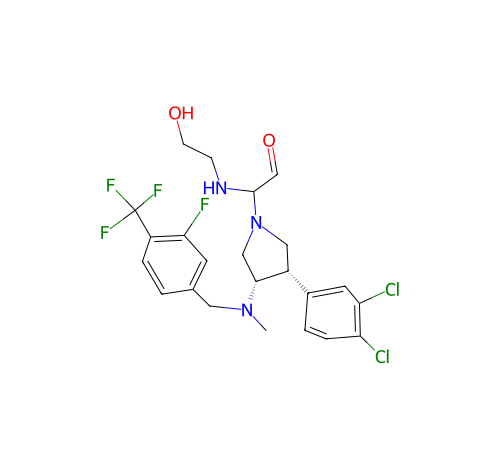 CN(Cc1ccc(C(F)(F)F)c(F)c1)[C@@H]1CN(C(C=O)NCCO)C[C@@H]1c1ccc(Cl)c(Cl)c1